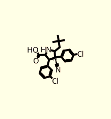 CC(C)(C)CC1NC(C(=O)O)C(c2cccc(Cl)c2)[C@@]1(C#N)c1ccc(Cl)cc1